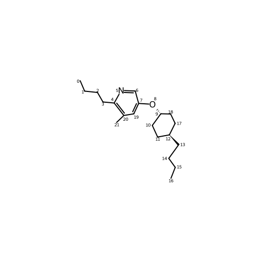 CCCCc1ncc(O[C@H]2CC[C@H](CCCC)CC2)cc1C